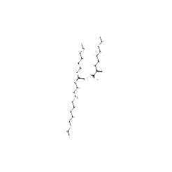 CCCCCCCCCCCCC(CCCCCCC)COC(=O)C(C)CCCCCCC